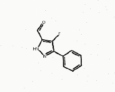 O=Cc1[nH]nc(-c2ccccc2)c1F